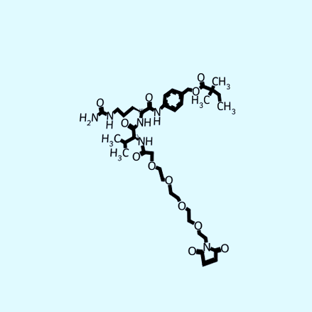 CCC(C)(C)C(=O)OCc1ccc(NC(=O)[C@H](CCCNC(N)=O)NC(=O)[C@@H](NC(=O)COCCOCCOCCOCCN2C(=O)C=CC2=O)C(C)C)cc1